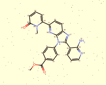 COC(=O)c1ccc(-n2c(-c3cccnc3N)nc3ccc(-c4cccc(=O)n4C)nc32)cc1